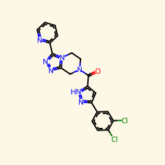 O=C(c1cc(-c2ccc(Cl)c(Cl)c2)n[nH]1)N1CCn2c(nnc2-c2ccccn2)C1